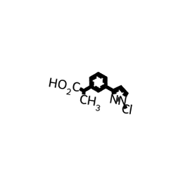 CC(C(=O)O)c1cccc(-c2ccn(Cl)n2)c1